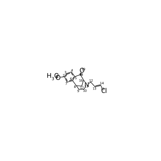 COc1ccc2c(c1)C1CCN(CC=CCl)C(C1)C2=O